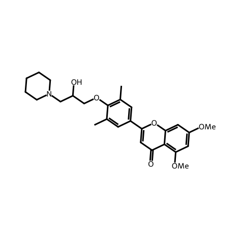 COc1cc(OC)c2c(=O)cc(-c3cc(C)c(OCC(O)CN4CCCCC4)c(C)c3)oc2c1